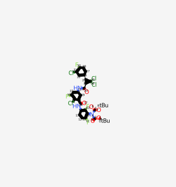 CC(C)(C)OC(=O)N(C(=O)OC(C)(C)C)c1c(F)ccc(NC(=O)c2cc(NC(=O)[C@H]3[C@H](c4ccc(F)c(Cl)c4)C3(Cl)Cl)cc(F)c2Cl)c1F